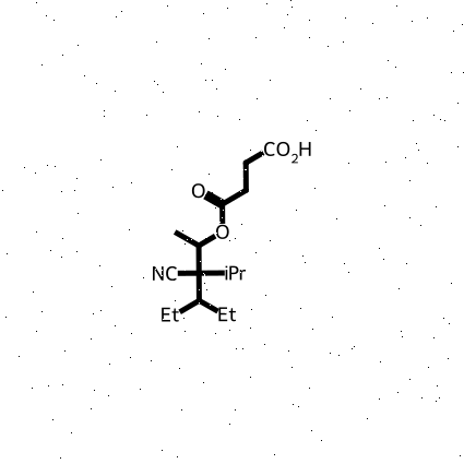 CCC(CC)C(C#N)(C(C)C)C(C)OC(=O)CCC(=O)O